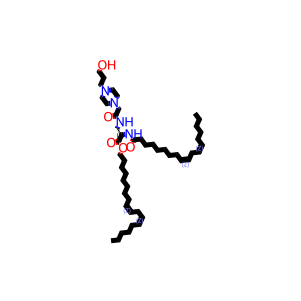 CCCCC/C=C\C/C=C\CCCCCCCCOC(=O)[C@H](CNC(=O)CN1CCN(CCCO)CC1)NC(=O)CCCCCCC/C=C\C/C=C\CCCCC